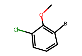 [B]c1cccc(Cl)c1OC